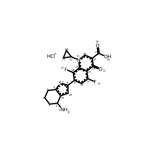 Cl.NC1CCCc2sc(-c3cc(F)c4c(=O)c(C(=O)O)cn(C5CC5)c4c3F)cc21